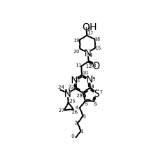 CCCCCc1csc2nc(CC(=O)N3CCC(O)CC3)nc(N(C)C3CC3)c12